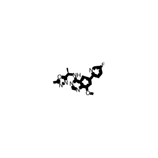 COc1cc(-c2ccc(F)cn2)cc2c(N[C@H](C)c3nnc(C)o3)ncnc12